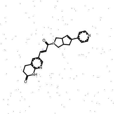 O=C1CCc2cc(/C=C/C(=O)N3CC4C=C(c5ccncc5)CC4C3)cnc2N1